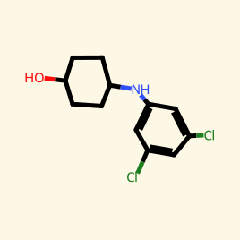 OC1CCC(Nc2cc(Cl)cc(Cl)c2)CC1